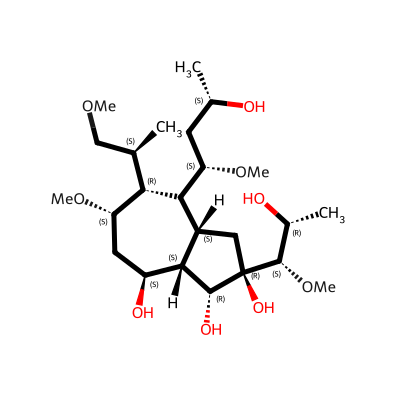 COC[C@@H](C)[C@@H]1C([C@H](C[C@H](C)O)OC)[C@@H]2C[C@](O)([C@@H](OC)[C@@H](C)O)[C@H](O)[C@@H]2[C@@H](O)C[C@@H]1OC